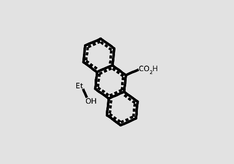 CCO.O=C(O)c1c2ccccc2cc2ccccc12